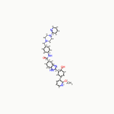 COc1ncccc1-c1ccc(O)c(-c2nc3cc(C(=O)Nc4ccc(CN5CCN(c6ccccn6)CC5)cc4)ccc3[nH]2)c1